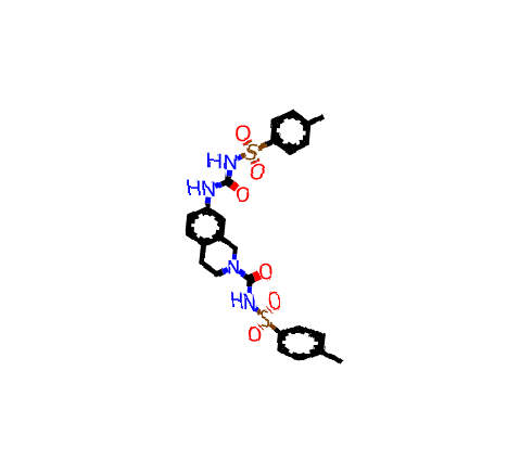 Cc1ccc(S(=O)(=O)NC(=O)Nc2ccc3c(c2)CN(C(=O)NS(=O)(=O)c2ccc(C)cc2)CC3)cc1